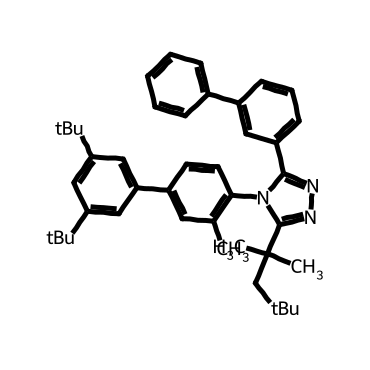 Cc1cc(-c2cc(C(C)(C)C)cc(C(C)(C)C)c2)ccc1-n1c(-c2cccc(-c3ccccc3)c2)nnc1C(C)(C)CC(C)(C)C